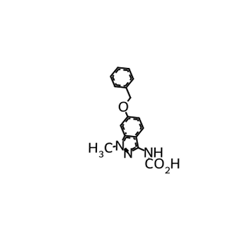 Cn1nc(NC(=O)O)c2ccc(OCc3ccccc3)cc21